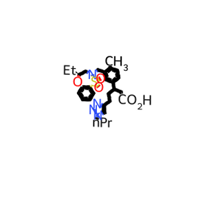 CCCn1cc(CCC(CC(=O)O)c2ccc(C)c(CN3C[C@@H](CC)Oc4ccccc4S3(=O)=O)c2)nn1